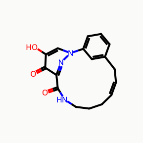 O=C1NCCC/C=C\Cc2cccc(c2)-n2cc(O)c(=O)c1n2